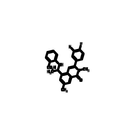 Cc1cc(C(C)Nc2ccccc2C(=O)O)c2cc(-c3ccc(F)c(F)c3)n(C)c(=O)c2c1